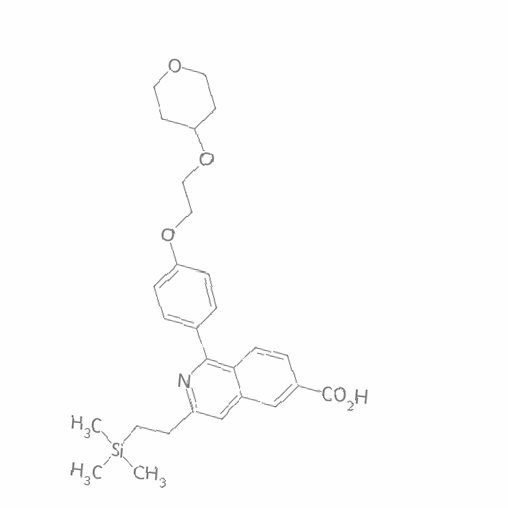 C[Si](C)(C)CCc1cc2cc(C(=O)O)ccc2c(-c2ccc(OCCOC3CCOCC3)cc2)n1